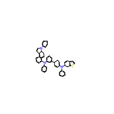 C1=CC(c2cccc(N(c3ccccc3)c3cccc4c3=CCC3C=4C=CN3c3ccccc3)c2)CC=C1N(c1ccccc1)C1C=Cc2ccsc2C1